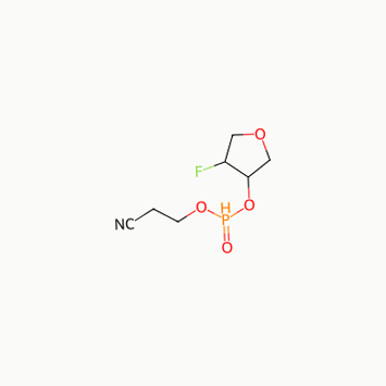 N#CCCO[PH](=O)OC1COCC1F